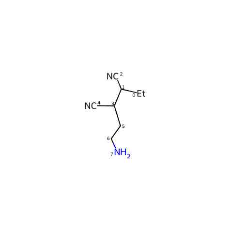 CCC(C#N)C(C#N)CCN